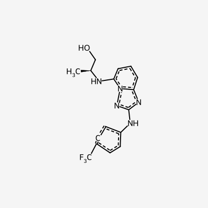 C[C@@H](CO)Nc1cccc2nc(Nc3ccc(C(F)(F)F)cc3)nn12